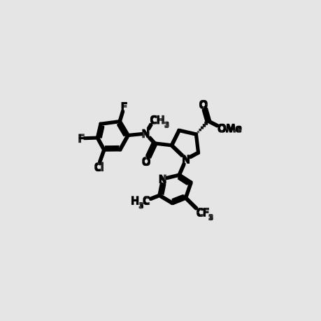 COC(=O)[C@H]1CC(C(=O)N(C)c2cc(Cl)c(F)cc2F)N(c2cc(C(F)(F)F)cc(C)n2)C1